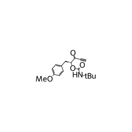 C#CC(=O)[C@H](Cc1ccc(OC)cc1)OC(=O)NC(C)(C)C